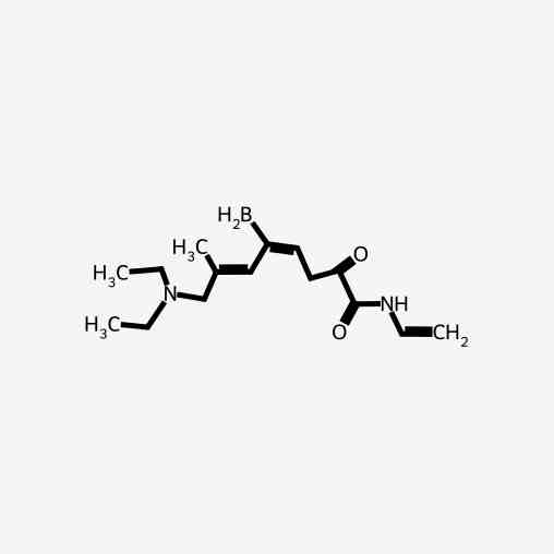 BC(=C/CC(=O)C(=O)NC=C)/C=C(\C)CN(CC)CC